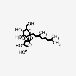 CC(C)=CCC/C(C)=C/CC1(OC2O[C@H](CO)[C@@H](O)[C@@H]2O)O[C@H](CO)[C@@H](O)[C@H](O)[C@H]1O